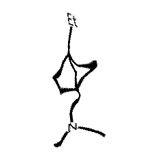 CCC12CC(N(C)C)(C1)C2